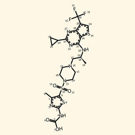 Cc1nc(NC(=O)O)sc1S(=O)(=O)N1CCN(C[C@H](C)Nc2nc(C3CC3)nc3c(C(F)(F)F)csc23)CC1